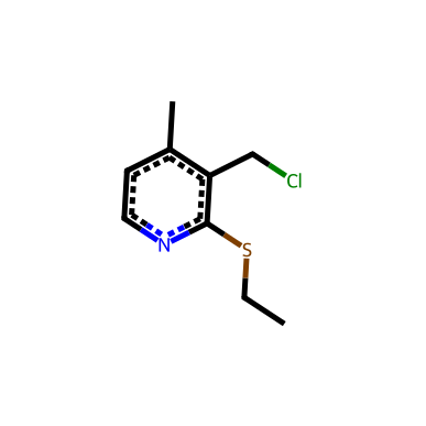 CCSc1nccc(C)c1CCl